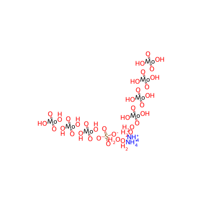 O.O.O.O.O=S(=O)([O-])[O-].[NH4+].[NH4+].[O]=[Mo](=[O])([OH])[OH].[O]=[Mo](=[O])([OH])[OH].[O]=[Mo](=[O])([OH])[OH].[O]=[Mo](=[O])([OH])[OH].[O]=[Mo](=[O])([OH])[OH].[O]=[Mo](=[O])([OH])[OH].[O]=[Mo](=[O])([OH])[OH]